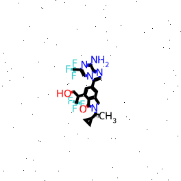 C[C@@H](C1CC1)N1Cc2cc(-c3cnc4c(N)nc(C(F)(F)F)cn34)cc(C(CO)C(F)(F)F)c2C1=O